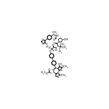 COC(=O)C[C@@H]1N=C(c2ccc(-c3ccc(OC(F)(F)C(=O)N[C@H](C(=O)N4C[C@H](O)C[C@H]4C(=O)N[C@@H](C)c4ccc(-c5scnc5C)cc4)C(C)(C)C)cc3)cc2)c2c(sc(C)c2C)-n2c(C)nnc21